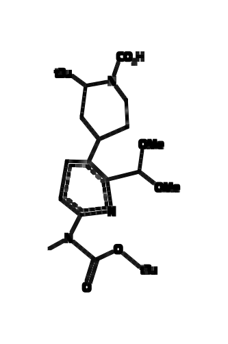 COC(OC)c1nc(N(C)C(=O)OC(C)(C)C)ccc1C1CCN(C(=O)O)C(C(C)(C)C)C1